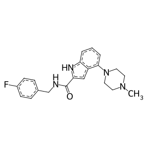 CN1CCN(c2cccc3[nH]c(C(=O)NCc4ccc(F)cc4)cc23)CC1